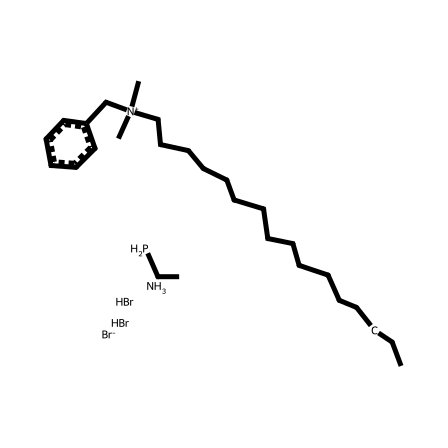 Br.Br.CCCCCCCCCCCCCCCC[N+](C)(C)Cc1ccccc1.CCP.N.[Br-]